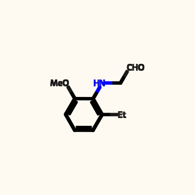 CCc1cccc(OC)c1NCC=O